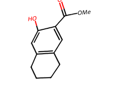 COC(=O)c1cc2c(cc1O)CCCC2